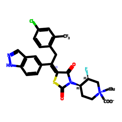 CC(C)(C)[N+]1(C(=O)[O-])CC[C@@H](N2C(=O)S/C(=C(/Cc3ccc(Cl)cc3C(F)(F)F)c3ccc4[nH]ncc4c3)C2=O)[C@H](F)C1